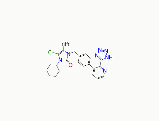 CCCc1c(Cl)n(C2CCCCC2)c(=O)n1Cc1ccc(-c2cccnc2-c2nnn[nH]2)cc1